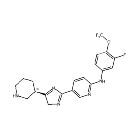 Fc1cc(Nc2ccc(C3=NCC([C@@H]4CCCNC4)=N3)cn2)ccc1OC(F)(F)F